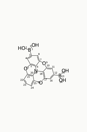 OB(O)c1cc2c3c(c1)Oc1cc(B(O)O)cc4c1N3c1c(cccc1O4)O2